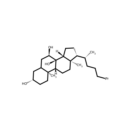 CC(C)CCC[C@@H](C)[C@H]1CC[C@@H]2[C@]1(C)CC[C@H]1[C@]2(O)[C@H](O)CC2C[C@@H](O)CC[C@@]21C